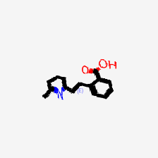 Cc1cccc(/C=C/c2ccccc2C(=O)O)n1